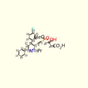 COP(=O)(C#Cc1c(C(C)C)nc(-c2ccccc2)c(C)c1-c1ccc(F)cc1)C[C@@H](O)CC(=O)O